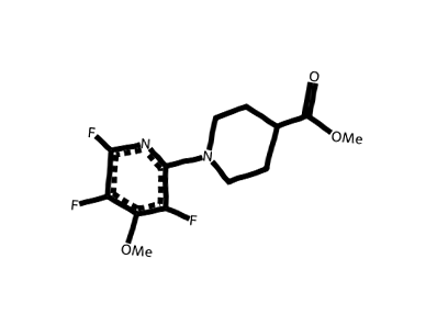 COC(=O)C1CCN(c2nc(F)c(F)c(OC)c2F)CC1